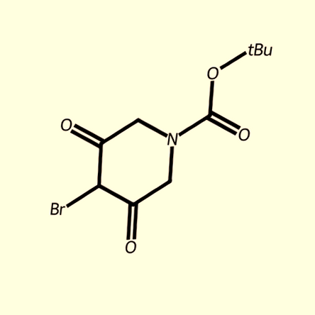 CC(C)(C)OC(=O)N1CC(=O)C(Br)C(=O)C1